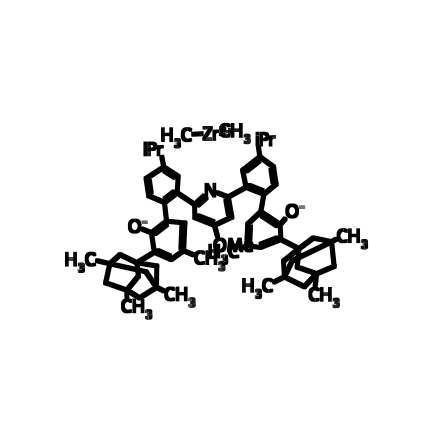 COc1cc(-c2cc(C(C)C)ccc2-c2cc(C)cc(C34CC5(C)CC(C)(CC(C)(C5)C3)C4)c2[O-])nc(-c2cc(C(C)C)ccc2-c2cc(C)cc(C34CC5(C)CC(C)(CC(C)(C5)C3)C4)c2[O-])c1.[CH3][Zr+2][CH3]